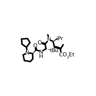 CCOC(=O)/C(C)=C/[C@H](C(C)C)N(C)C(=O)[C@@H](NC(=O)[C@H]1CCCCN1C1CCCC1)C(C)(C)C